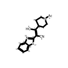 CC(=O)N1CCC(C(O)=C(C#N)c2nc3ccccc3s2)CC1